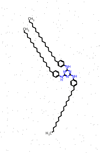 CCCCCCCCCCCCCCCCCCc1ccc(Nc2nc(Nc3ccc(CCCCCCCCCCCCCCCCCC)cc3)nc(Nc3ccc(CCCCCCCCCCCCCCCCCC)cc3)n2)cc1